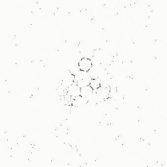 CC(=O)Nc1nc2c(s1)-c1cc(F)ccc1C(=O)N(C1CCCC1)C2C(=O)NC(C)(C)C